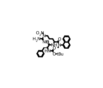 CN(C(=O)C(CCCN(C(=N)N)[N+](=O)[O-])NC(=O)[C@H](Cc1ccccc1)NC(=O)OC(C)(C)C)c1cccc2ccccc12